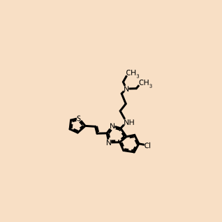 CCN(CC)CCCNc1nc(C=Cc2cccs2)nc2ccc(Cl)cc12